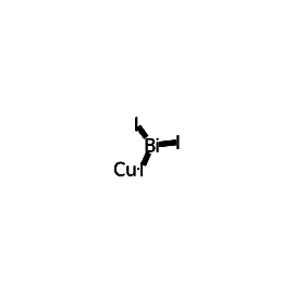 [Cu].[I][Bi]([I])[I]